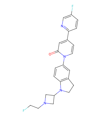 O=c1cc(-c2ccc(F)cn2)ccn1-c1ccc2c(c1)CCN2C1CN(CCF)C1